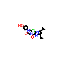 O=C(c1nc2c(C3CC3)cc(C3CC3)cn2c1Cl)N1CCN([C@H]2CC[C@H](O)CC2)C(=O)C1